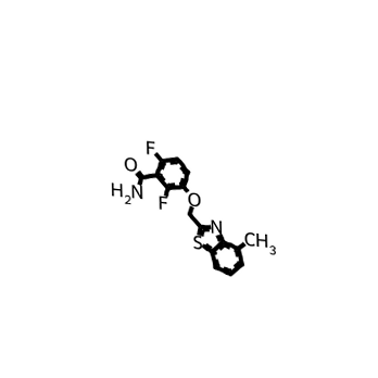 Cc1cccc2sc(COc3ccc(F)c(C(N)=O)c3F)nc12